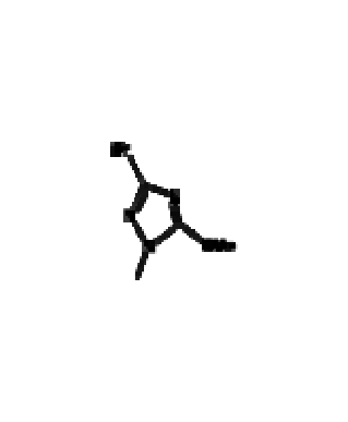 COc1nc(C(C)C)nn1C